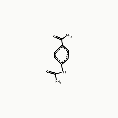 NC(=O)Nc1ccc(C(N)=O)cc1